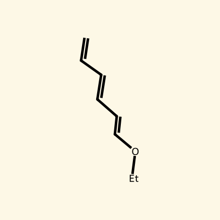 [CH2]CO/C=C/C=C/C=C